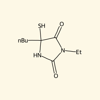 CCCCC1(S)NC(=O)N(CC)C1=O